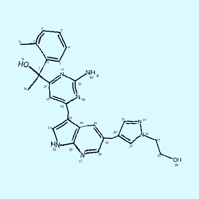 Cc1ccccc1C(C)(O)c1cc(-c2c[nH]c3ncc(-c4cnn(CCO)c4)cc23)nc(N)n1